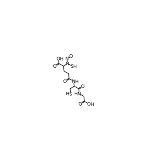 O=NN(S)C(CCC(=O)NC(CS)C(=O)NCC(=O)O)C(=O)O